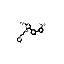 Nc1ncc(-c2cccc(-c3cccc([N+](=O)[O-])c3)c2)c(NCCCN2CCCC2)n1